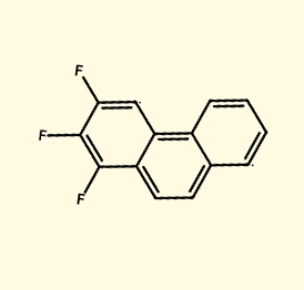 Fc1[c]c2c(ccc3[c]cccc32)c(F)c1F